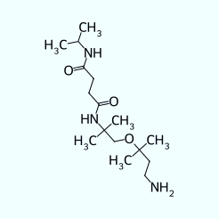 CC(C)NC(=O)CCC(=O)NC(C)(C)COC(C)(C)CCN